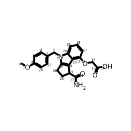 COc1ccc(Cn2c3c(c4c(OCC(=O)O)cccc42)C(C(N)=O)CC3)cc1